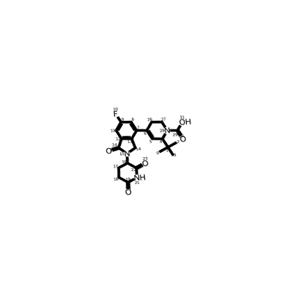 CC(C)(C)C1C=C(c2cc(F)cc3c2CN(C2CCC(=O)NC2=O)C3=O)CCN1C(=O)O